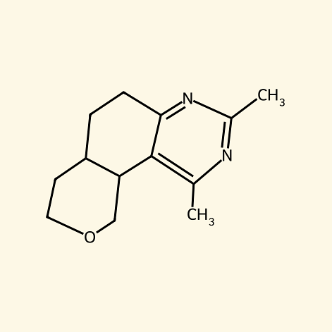 Cc1nc(C)c2c(n1)CCC1CCOCC21